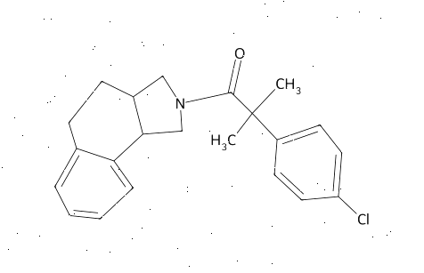 CC(C)(C(=O)N1CC2CCc3ccccc3C2C1)c1ccc(Cl)cc1